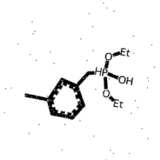 CCO[PH](O)(Cc1cccc(C)c1)OCC